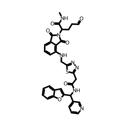 CNC(=O)C(CCC=O)N1C(=O)c2cccc(NCc3nnc(CC(=O)NC(c4cccnc4)c4cc5ccccc5o4)s3)c2C1=O